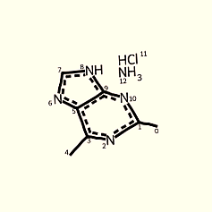 Cc1nc(C)c2nc[nH]c2n1.Cl.N